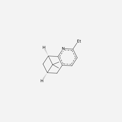 CCc1ccc2c(n1)[C@@H]1C[C@H](C2)C1(C)C